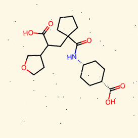 O=C(O)C(CC1(C(=O)N[C@H]2CC[C@@H](C(=O)O)CC2)CCCC1)C1CCOC1